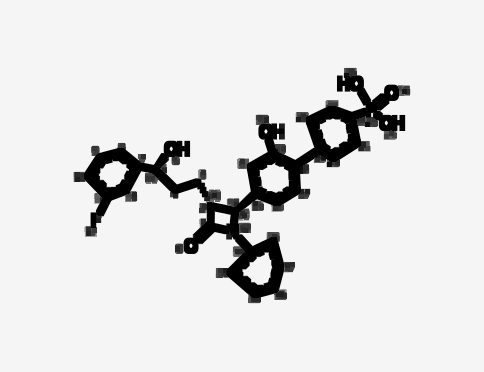 O=C1[C@H](CC[C@H](O)c2cccc(F)c2)[C@@H](c2ccc(-c3ccc(P(=O)(O)O)cc3)c(O)c2)N1c1ccccc1